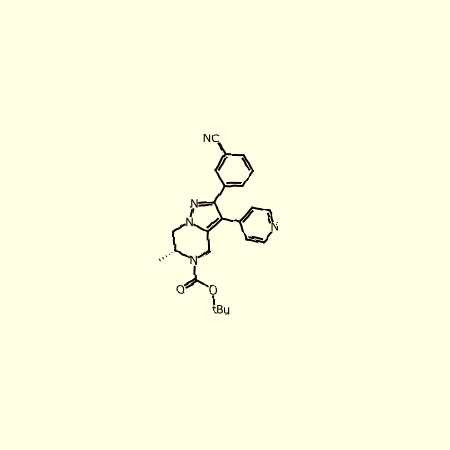 C[C@@H]1Cn2nc(-c3cccc(C#N)c3)c(-c3ccncc3)c2CN1C(=O)OC(C)(C)C